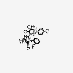 Cc1cn(-c2ccc(Cl)cc2)nc(-c2n[nH]c(=S)n2-c2ccccc2F)c1=O